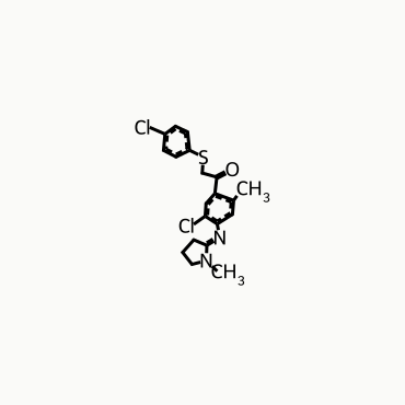 Cc1cc(/N=C2\CCCN2C)c(Cl)cc1C(=O)CSc1ccc(Cl)cc1